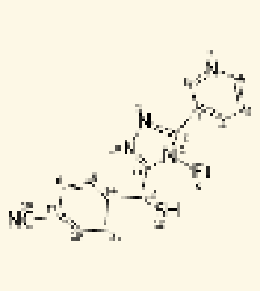 CCn1c(-c2cccnc2)nnc1C(S)c1ccc(C#N)cc1